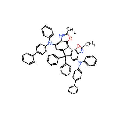 Cc1nc2c(N(c3ccccc3)c3ccc(-c4ccccc4)cc3)cc3c(c2o1)-c1c(cc(N(c2ccccc2)c2ccc(-c4ccccc4)cc2)c2nc(C)oc12)C3(c1ccccc1)c1ccccc1